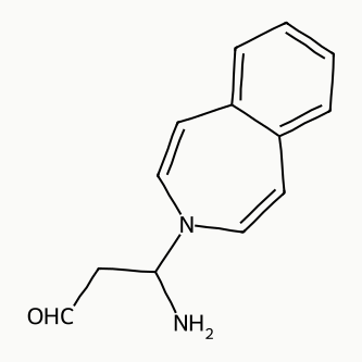 NC(CC=O)N1C=Cc2ccccc2C=C1